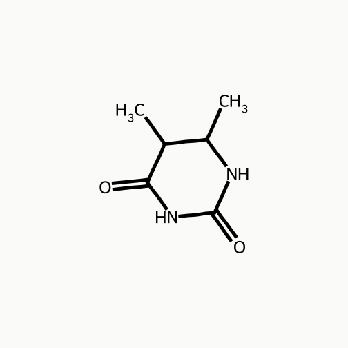 CC1NC(=O)NC(=O)C1C